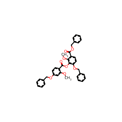 COc1cc(OCc2ccccc2)ccc1C(=O)Oc1c(OCc2ccccc2)ccc(C(=O)OCc2ccccc2)c1OC